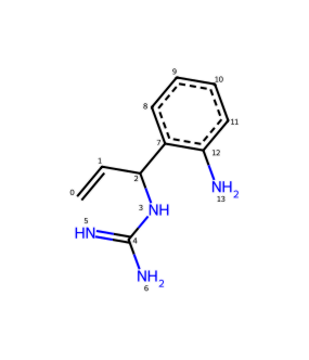 C=CC(NC(=N)N)c1ccccc1N